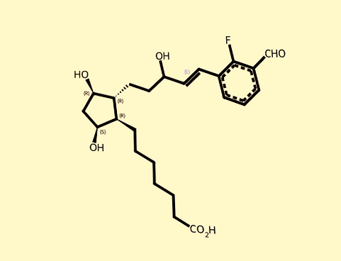 O=Cc1cccc(/C=C/C(O)CC[C@@H]2[C@@H](CCCCCCC(=O)O)[C@@H](O)C[C@H]2O)c1F